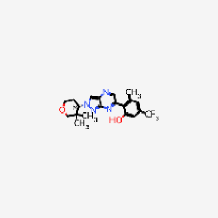 Cc1cc(C(F)(F)F)cc(O)c1-c1cnc2cn([C@H]3CCOCC3(C)C)nc2n1